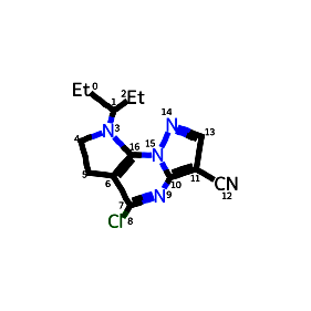 CCC(CC)N1CCc2c(Cl)nc3c(C#N)cnn3c21